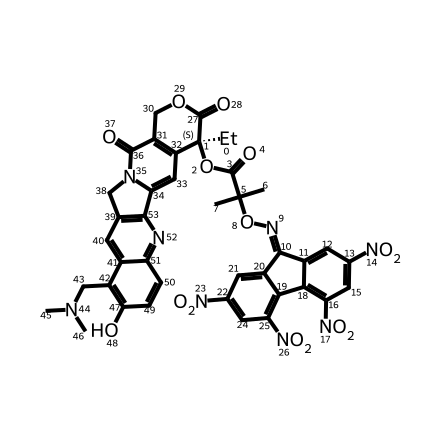 CC[C@@]1(OC(=O)C(C)(C)ON=C2c3cc([N+](=O)[O-])cc([N+](=O)[O-])c3-c3c2cc([N+](=O)[O-])cc3[N+](=O)[O-])C(=O)OCc2c1cc1n(c2=O)Cc2cc3c(CN(C)C)c(O)ccc3nc2-1